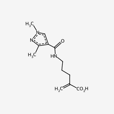 C=C(CCCNC(=O)c1cn(C)nc1C)C(=O)O